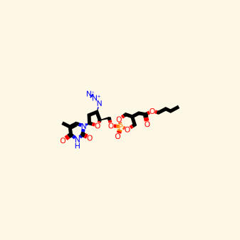 CCCCOC(=O)CC1COP(=O)(OC[C@H]2O[C@@H](n3cc(C)c(=O)[nH]c3=O)C[C@@H]2N=[N+]=[N-])OC1